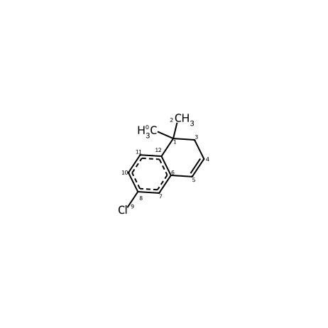 CC1(C)CC=Cc2cc(Cl)ccc21